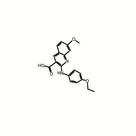 CCOc1ccc(Nc2nc3cc(OC)ccc3cc2C(=O)O)cc1